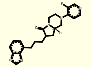 O=C1C(CCCc2cccc3ncsc23)C[C@H]2CN(c3ccncc3F)CCN12